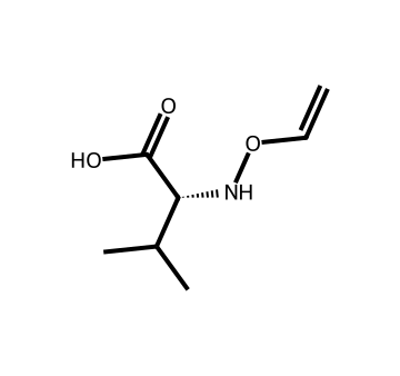 C=CON[C@@H](C(=O)O)C(C)C